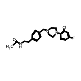 CC(=O)NCCc1ccc(CN2CCN(c3ccc(F)cc3Cl)CC2)cc1